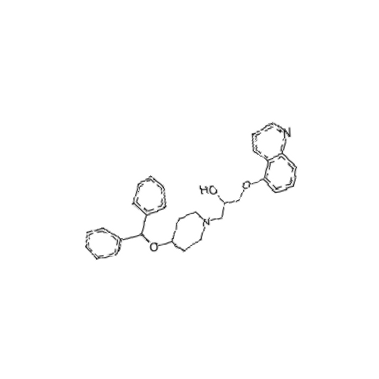 OC(COc1cccc2ncccc12)CN1CCC(OC(c2ccccc2)c2ccccc2)CC1